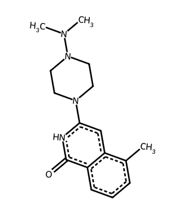 Cc1cccc2c(=O)[nH]c(N3CCN(N(C)C)CC3)cc12